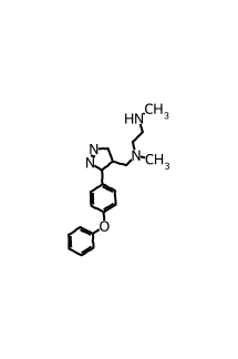 CNCCN(C)CC1CN=NC1c1ccc(Oc2ccccc2)cc1